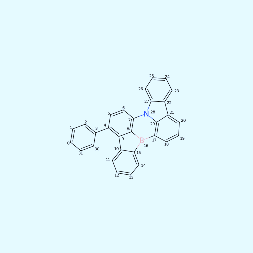 c1ccc(-c2ccc3c4c2-c2ccccc2B4c2cccc4c5ccccc5n-3c24)cc1